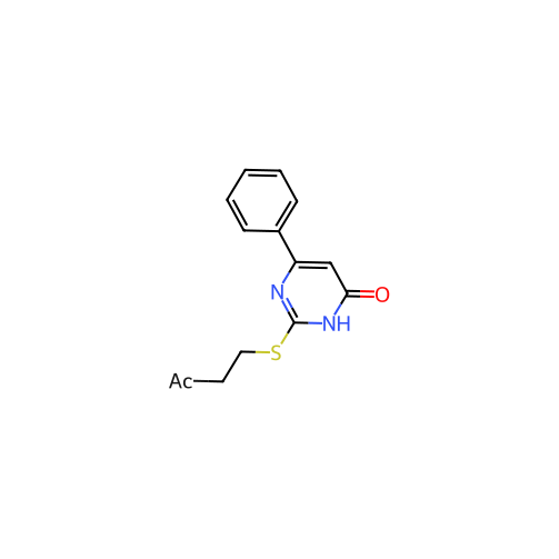 CC(=O)CCSc1nc(-c2ccccc2)cc(=O)[nH]1